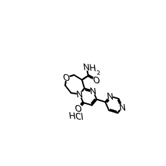 Cl.NC(=O)C1COCCn2c1nc(-c1ccncn1)cc2=O